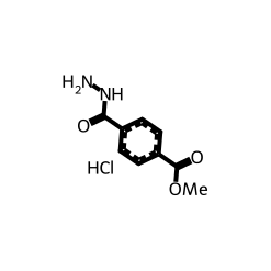 COC(=O)c1ccc(C(=O)NN)cc1.Cl